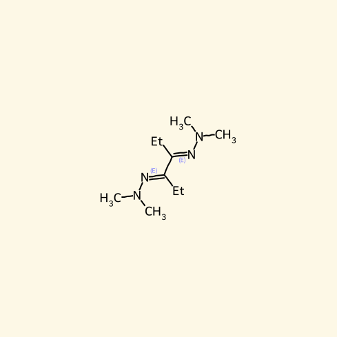 CCC(=N\N(C)C)/C(CC)=N/N(C)C